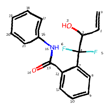 C=CC(O)C(F)(F)c1ccccc1C(=O)Nc1ccccc1